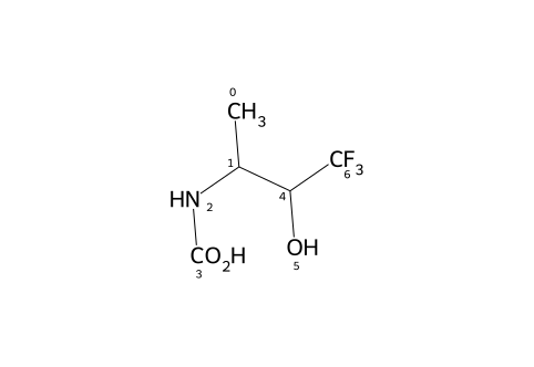 CC(NC(=O)O)C(O)C(F)(F)F